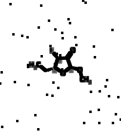 CC[C@H]1O[C@H](OC)C(=O)[C@@H]1F